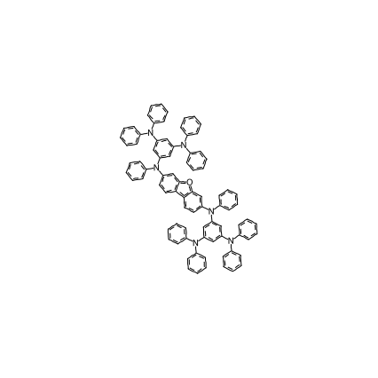 c1ccc(N(c2ccccc2)c2cc(N(c3ccccc3)c3ccccc3)cc(N(c3ccccc3)c3ccc4c(c3)oc3cc(N(c5ccccc5)c5cc(N(c6ccccc6)c6ccccc6)cc(N(c6ccccc6)c6ccccc6)c5)ccc34)c2)cc1